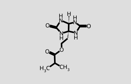 CC(C)C(=O)OCC[C@]12NC(=O)N[C@H]1NC(=O)N2